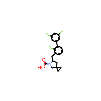 O=C(O)N1CC2(CC2)CC1Cc1cccc(-c2cc(F)cc(F)c2)c1F